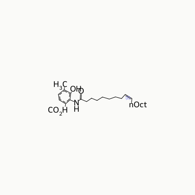 CCCCCCCC/C=C\CCCCCCCC(=O)Nc1c(C(=O)O)ccc(C)c1O